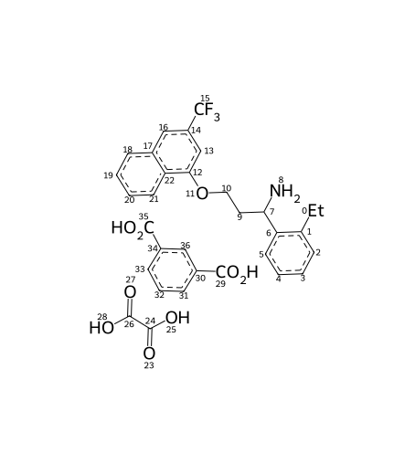 CCc1ccccc1C(N)CCOc1cc(C(F)(F)F)cc2ccccc12.O=C(O)C(=O)O.O=C(O)c1cccc(C(=O)O)c1